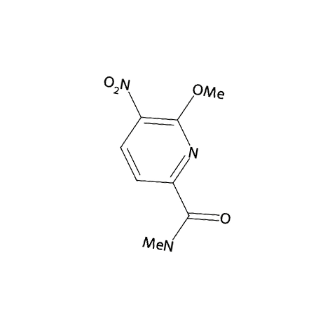 CNC(=O)c1ccc([N+](=O)[O-])c(OC)n1